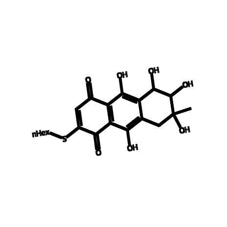 CCCCCCSC1=CC(=O)c2c(O)c3c(c(O)c2C1=O)CC(C)(O)C(O)C3O